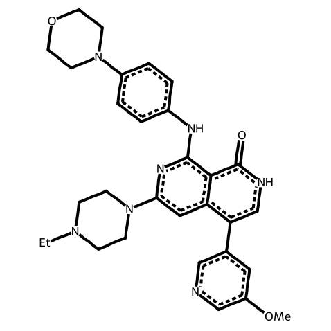 CCN1CCN(c2cc3c(-c4cncc(OC)c4)c[nH]c(=O)c3c(Nc3ccc(N4CCOCC4)cc3)n2)CC1